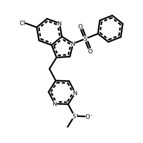 C[S+]([O-])c1ncc(Cc2cn(S(=O)(=O)c3ccccc3)c3ncc(Cl)cc23)cn1